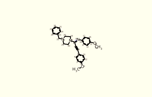 COc1ccc(C#C/C(=N\c2ccc(OC)cc2)N2CCN(Cc3ccccc3)CC2)cc1